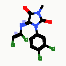 CN1C(=O)/C(=N/C(Cl)=C/Cl)N(c2ccc(Cl)c(Cl)c2)C1=O